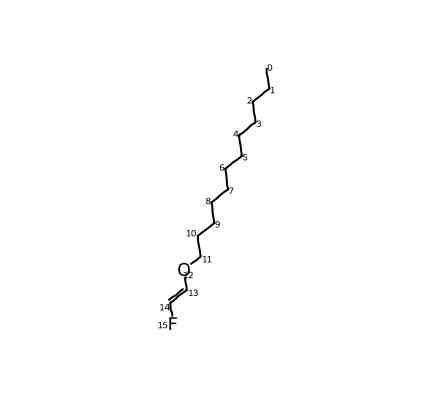 CCCCCCCCCCCCO/C=C/F